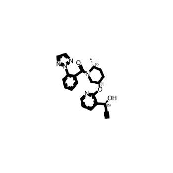 C#C[C@H](O)c1cccnc1O[C@@H]1CC[C@@H](C)N(C(=O)c2ccccc2-n2nccn2)C1